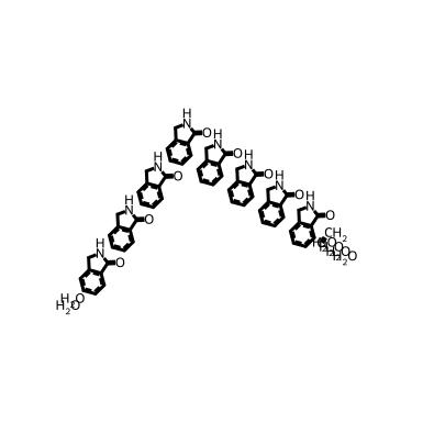 C=O.O.O.O.O.O.O.O=C1NCc2ccccc21.O=C1NCc2ccccc21.O=C1NCc2ccccc21.O=C1NCc2ccccc21.O=C1NCc2ccccc21.O=C1NCc2ccccc21.O=C1NCc2ccccc21.O=C1NCc2ccccc21